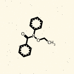 CCON(C(=O)c1[c]cccc1)c1ccccc1